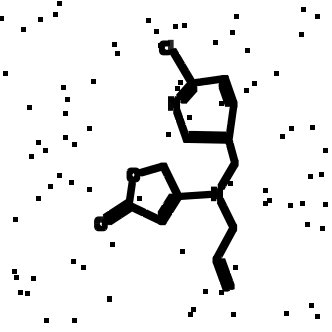 C=CCN(Cc1ccc(Cl)nc1)C1=CC(=O)OC1